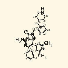 Cc1cc(-c2c(-c3ccccc3)nc(N)n3c(=O)n(Cc4ccccc4CC4CCNCC4)nc23)cc(C)n1